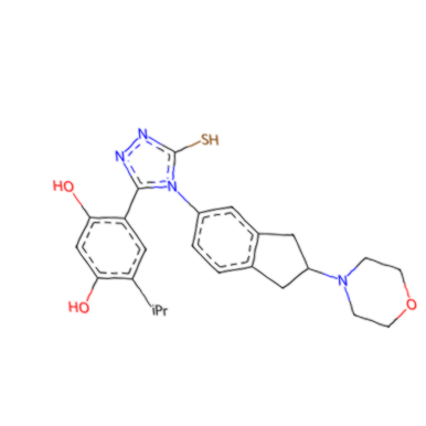 CC(C)c1cc(-c2nnc(S)n2-c2ccc3c(c2)CC(N2CCOCC2)C3)c(O)cc1O